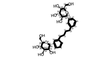 OC[C@H]1O[C@H](c2cccc(CCCCc3cccc([C@H]4O[C@H](CO)[C@@H](O)[C@@H](O)[C@@H]4O)c3)c2)[C@@H](O)[C@@H](O)[C@@H]1O